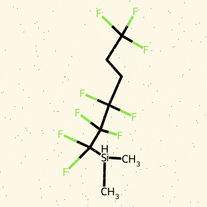 C[SiH](C)C(F)(F)C(F)(F)C(F)(F)CCC(F)(F)F